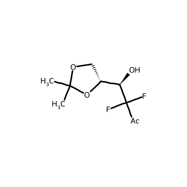 CC(=O)C(F)(F)[C@H](O)[C@H]1COC(C)(C)O1